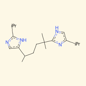 CC(C)c1c[nH]c(C(C)(C)CCC(C)c2cnc(C(C)C)[nH]2)n1